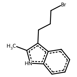 Cc1[nH]c2ccccc2c1CCCBr